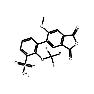 COc1cc2c(cc1-c1cccc(S(N)(=O)=O)c1OC(F)(F)F)C(=O)OC2=O